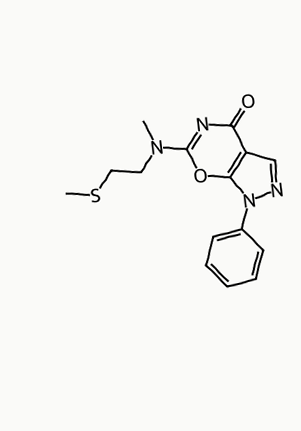 CSCCN(C)c1nc(=O)c2cnn(-c3ccccc3)c2o1